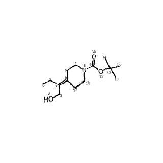 CCC(CO)=C1CCN(C(=O)OC(C)(C)C)CC1